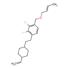 C=CC1CCC(CCc2ccc(COCC=CC)c(F)c2F)CC1